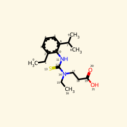 CCc1cccc(C(C)C)c1NC(=S)N(CC)CCC(=O)O